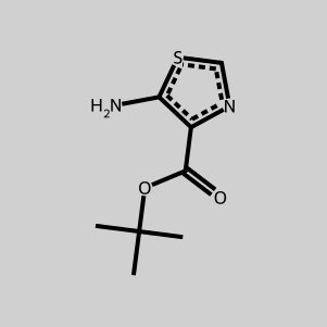 CC(C)(C)OC(=O)c1ncsc1N